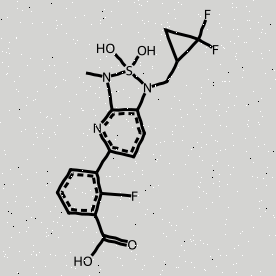 CN1c2nc(-c3cccc(C(=O)O)c3F)ccc2N(CC2CC2(F)F)S1(O)O